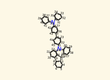 CC1(C)c2ccccc2-c2cccc(N(c3ccccc3)c3ccc(-c4ccc(N(c5ccccc5)c5ccccc5)cc4)cc3)c21